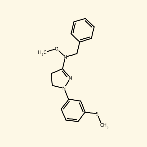 CON(Cc1ccccc1)C1=NN(c2cccc(SC)c2)CC1